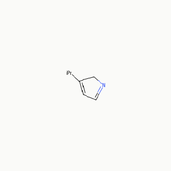 CC(C)C1=CC=NC1